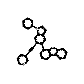 C(#Cc1cc2c(ccn2-c2ccccc2)cc1-c1cccc2c1sc1ccccc12)c1cccnc1